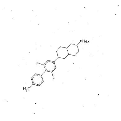 CCCCCCC1CCC2CC(c3cc(F)c(-c4ccc(C)cc4)c(F)c3)CCC2C1